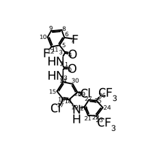 O=C(NC(=O)c1c(F)cccc1F)Nc1cc(Cl)c(Nc2cc(C(F)(F)F)cc(C(F)(F)F)c2)c(Cl)c1